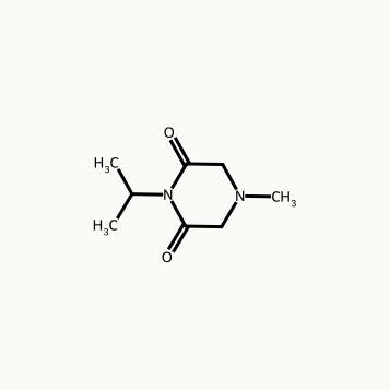 CC(C)N1C(=O)CN(C)CC1=O